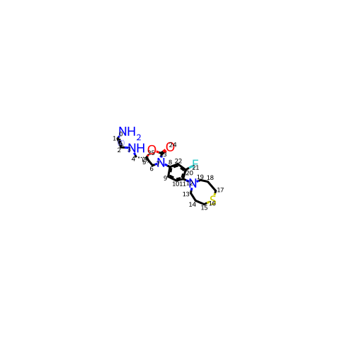 N/C=C\NC[C@H]1CN(c2ccc(N3CCCSCCC3)c(F)c2)C(=O)O1